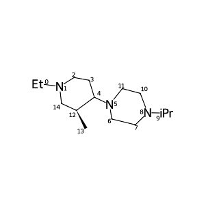 CCN1CCC(N2CCN(C(C)C)CC2)[C@@H](C)C1